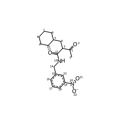 CC(=O)C(CC1CCCCC1)C(=O)NCc1cccc([N+](=O)[O-])c1